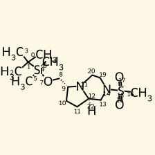 CC(C)(C)[Si](C)(C)OC[C@H]1CC[C@@H]2CN(S(C)(=O)=O)CCN12